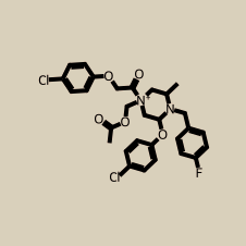 CC(=O)OC[N+]1(C(=O)COc2ccc(Cl)cc2)CC(C)N(Cc2ccc(F)cc2)C(Oc2ccc(Cl)cc2)C1